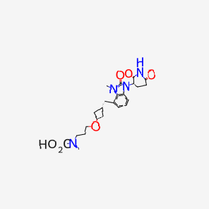 CN(CCCO[C@H]1C[C@H](Cc2cccc3c2n(C)c(=O)n3C2CCC(=O)NC2=O)C1)C(=O)O